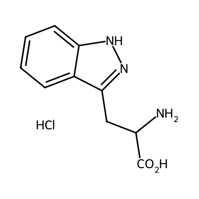 Cl.NC(Cc1n[nH]c2ccccc12)C(=O)O